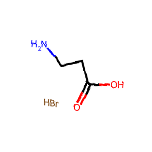 Br.NCCC(=O)O